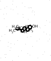 C=C/C=C(\C=C)C1=CC[C@H]2[C@@H]3CC=C4C[C@@H](O)CC[C@]4(C)[C@H]3CC[C@]12C